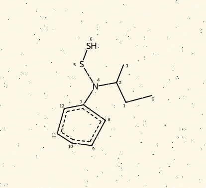 CCC(C)N(SS)c1ccccc1